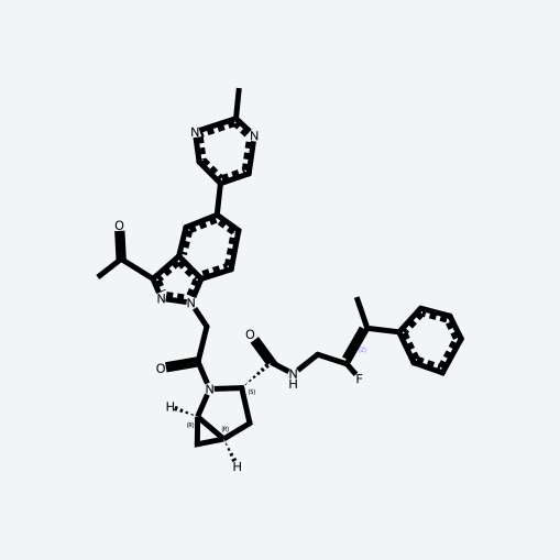 CC(=O)c1nn(CC(=O)N2[C@@H]3C[C@@H]3C[C@H]2C(=O)NC/C(F)=C(\C)c2ccccc2)c2ccc(-c3cnc(C)nc3)cc12